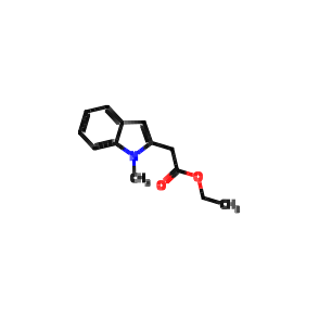 CCOC(=O)Cc1cc2ccccc2n1C